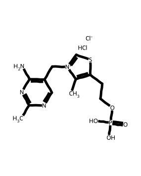 Cc1ncc(C[n+]2csc(CCOP(=O)(O)O)c2C)c(N)n1.Cl.[Cl-]